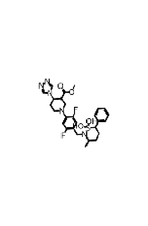 COC(=O)C1CN(c2cc(F)c(CN3C(C)CCC(c4ccccc4)S3(O)O)cc2F)CC[C@H]1n1cnnc1